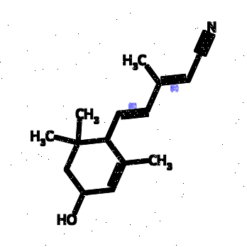 CC1=CC(O)CC(C)(C)C1/C=C/C(C)=C/C#N